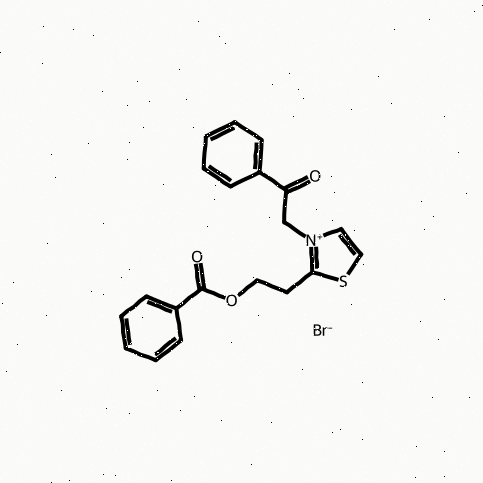 O=C(C[n+]1ccsc1CCOC(=O)c1ccccc1)c1ccccc1.[Br-]